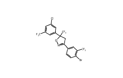 FC(F)(F)c1cc(Cl)cc(C2(C(F)(F)F)CC(c3ccc(Br)c(C(F)(F)F)c3)=NO2)c1